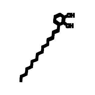 CCCCCCCCCCCC=CC=Cc1cccc(O)c1O